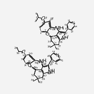 CC(C)Oc1cccc(Nc2c(-c3ccncc3)[nH]c3c2C(=O)CC(C)(C)C3)c1.CCOc1cccc(Nc2c(-c3ccncc3)[nH]c3c2C(=O)CC(C)(C)C3)c1